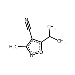 Cc1noc(C(C)C)c1C#N